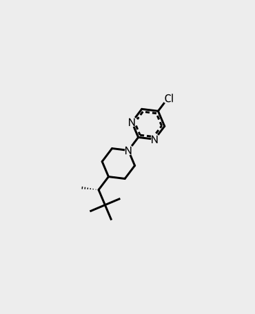 C[C@H](C1CCN(c2ncc(Cl)cn2)CC1)C(C)(C)C